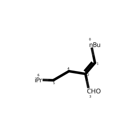 CCCCC=C(C=O)CCC(C)C